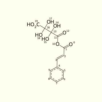 O=C(C=Cc1ccccc1)OC(=O)C(O)(O)C(O)(O)C(=O)O